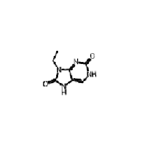 CCn1c(=O)[nH]c2c[nH]c(=O)nc21